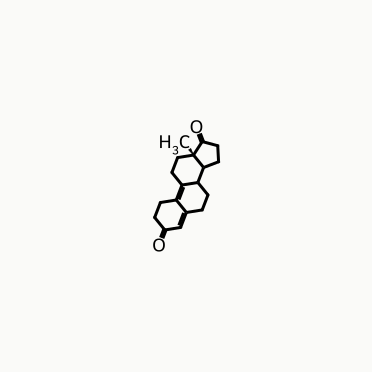 C[C@]12CCC3=C4CCC(=O)C=C4CCC3C1CCC2=O